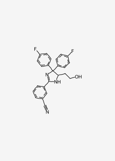 N#Cc1cccc(C2=NC(c3ccc(F)cc3)(c3ccc(F)cc3)C(CCO)N2)c1